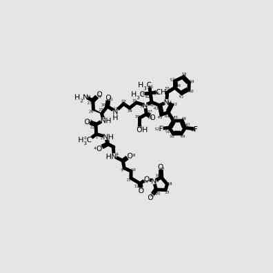 CC(NC(=O)CNC(=O)CCCC(=O)ON1C(=O)CCC1=O)C(=O)N[C@@H](CC(N)=O)C(=O)NCCCN(C(=O)CO)C(c1cc(-c2cc(F)ccc2F)cn1Cc1ccccc1)C(C)(C)C